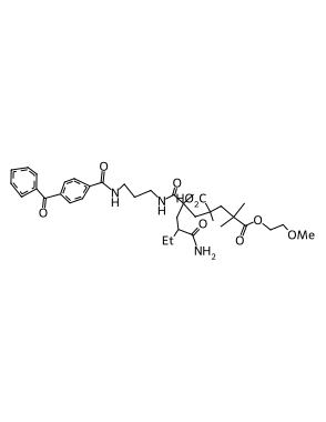 CCC(CC(C)(CC(C)(CC(C)(C)C(=O)OCCOC)C(=O)O)C(=O)NCCCNC(=O)c1ccc(C(=O)c2ccccc2)cc1)C(N)=O